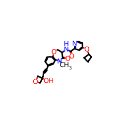 CN1C(=O)C(NC(=O)c2cc(OC3CCC3)ccn2)COc2ccc(C#CC3(O)COC3)cc21